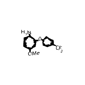 COc1ccc(N)c(Oc2ccc(C(F)(F)F)cc2)c1